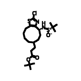 CC(C)(C)OC(=O)CCC1CCCCc2sc(Cl)nc2[C@H](N[S@+]([O-])C(C)(C)C)CC1